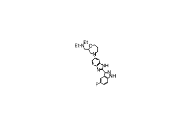 CCN(CC)CC1CN(c2ccc3nc(-c4n[nH]c5ccc(F)cc45)[nH]c3c2)CCCO1